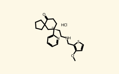 COc1ccsc1CNCC[C@]1(c2ccccn2)CCC(=O)C2(CCCC2)C1.Cl